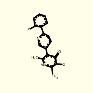 Cc1[nH]c(C)c(-c2ccc(-c3ccccc3F)nc2)c(=O)c1Cl